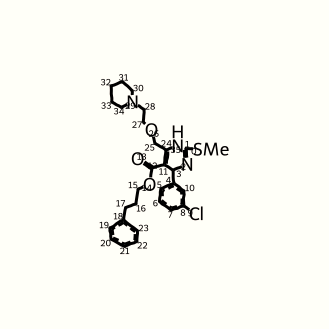 CSC1=NC(c2cccc(Cl)c2)C(C(=O)OCCCc2ccccc2)=C(COCCN2CCCCC2)N1